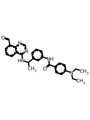 CCN(CC)c1ccc(C(=O)Nc2cccc(C(C)Nc3ncnc4c([C]=O)cccc34)c2)cc1